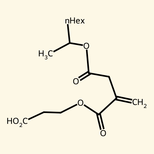 C=C(CC(=O)OC(C)CCCCCC)C(=O)OCCC(=O)O